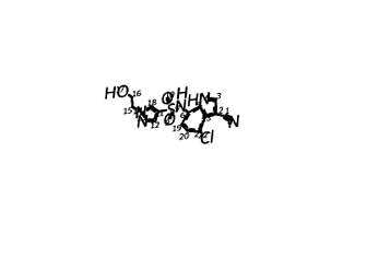 N#Cc1c[nH]c2c(NS(=O)(=O)c3cnn(CCO)c3)ccc(Cl)c12